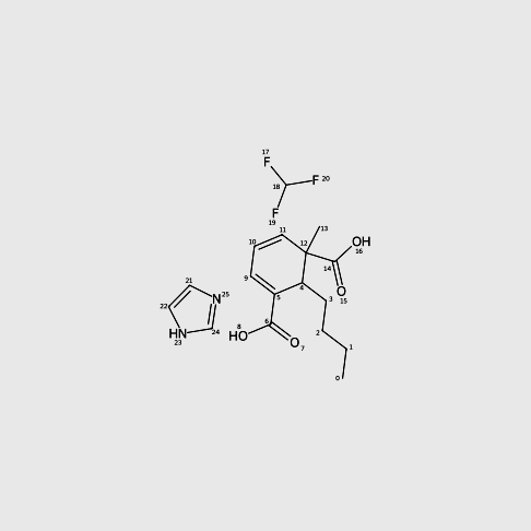 CCCCC1C(C(=O)O)=CC=CC1(C)C(=O)O.FC(F)F.c1c[nH]cn1